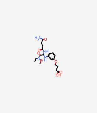 CCN(OC)C(=O)C(NC(=O)CCC(N)=O)Nc1cccc(OCCCC(=O)O)c1